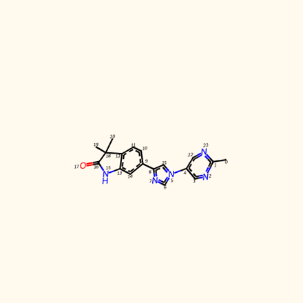 Cc1ncc(-n2cnc(-c3ccc4c(c3)NC(=O)C4(C)C)c2)cn1